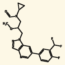 COC(CN(C=O)C1CC1)Cn1ncc2ncc(-c3ccc(F)c(C(F)F)c3)cc21